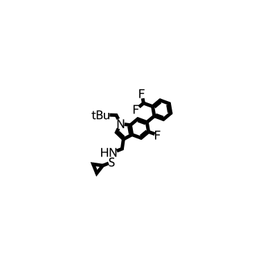 CC(C)(C)Cn1cc(CNSC2CC2)c2cc(F)c(-c3ccccc3C(F)F)cc21